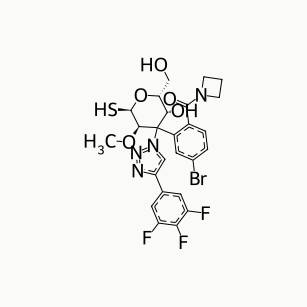 CO[C@H]1[C@@H](S)O[C@H](CO)[C@H](O)C1(c1cc(Br)ccc1C(=O)N1CCC1)n1cc(-c2cc(F)c(F)c(F)c2)nn1